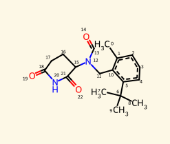 Cc1cccc(C(C)(C)C)c1CN(C=O)C1CCC(=O)NC1=O